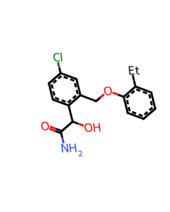 CCc1ccccc1OCc1cc(Cl)ccc1C(O)C(N)=O